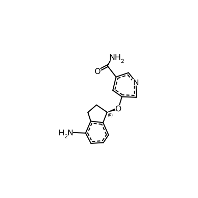 NC(=O)c1cncc(O[C@@H]2CCc3c(N)cccc32)c1